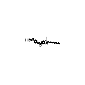 C=CCCCCCCCCC(=O)Nc1ccc(C(=O)/C=C/c2ccc(N(C)CCO)cc2)cc1